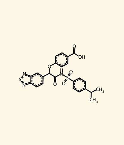 CC(C)c1ccc(S(=O)(=O)NC(=O)C(Oc2ccc(C(=O)O)cc2)c2ccc3nsnc3c2)cc1